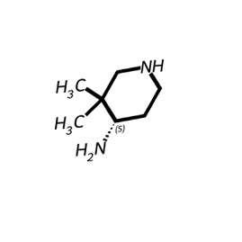 CC1(C)CNCC[C@@H]1N